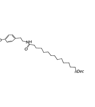 CCCCCCCCCCCCCCCCCCCCCCCC(=O)NCCc1ccc(O)cc1